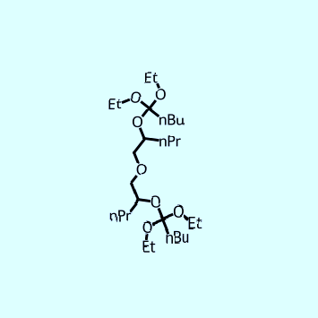 CCCCC(OCC)(OCC)OC(CCC)COCC(CCC)OC(CCCC)(OCC)OCC